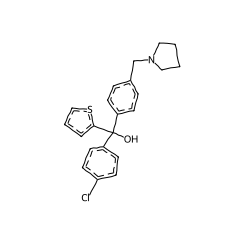 OC(c1ccc(Cl)cc1)(c1ccc(CN2CCCC2)cc1)c1cccs1